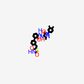 CC1=NN(c2ccc(C)c(C)c2)C(=O)C1=NNc1cccc(-c2cccc(C=C3SC(=O)NC3=O)c2)c1O